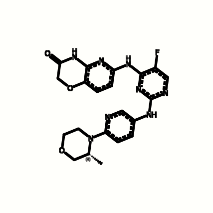 C[C@@H]1COCCN1c1ccc(Nc2ncc(F)c(Nc3ccc4c(n3)NC(=O)CO4)n2)cn1